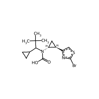 CC(C)(C)C(C1CC1)N(C(=O)O)[C@@H]1C[C@H]1c1csc(Br)n1